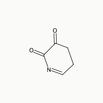 O=C1CCC=NC1=O